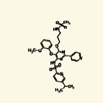 COc1ccccc1Oc1c(NS(=O)(=O)c2ccc(C(C)C)cn2)nc(-c2ccncc2)nc1OCCCNS(C)(=O)=O